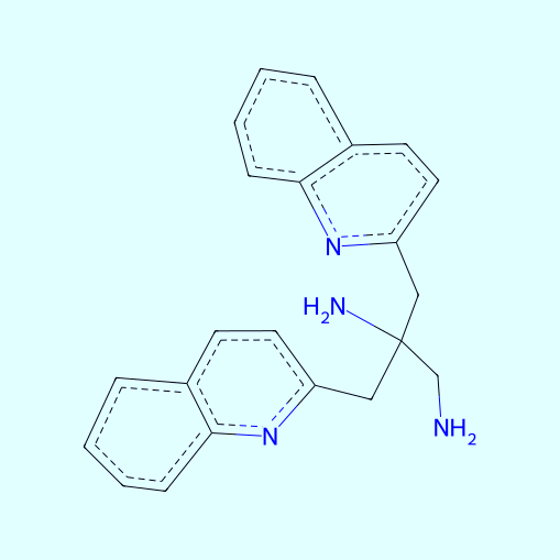 NCC(N)(Cc1ccc2ccccc2n1)Cc1ccc2ccccc2n1